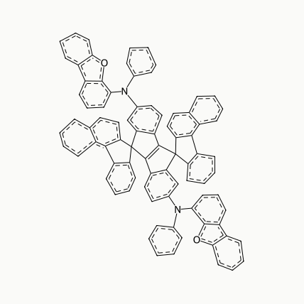 c1ccc(N(c2ccc3c(c2)C2(C4=C3C3(c5cc(N(c6ccccc6)c6cccc7c6oc6ccccc67)ccc54)c4ccccc4-c4c3ccc3ccccc43)c3ccccc3-c3c2ccc2ccccc32)c2cccc3c2oc2ccccc23)cc1